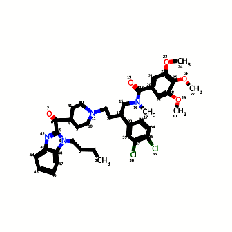 CCCCn1c(C(=O)C2CCN(CCC(CN(C)C(=O)c3cc(OC)c(OC)c(OC)c3)c3ccc(Cl)c(Cl)c3)CC2)nc2ccccc21